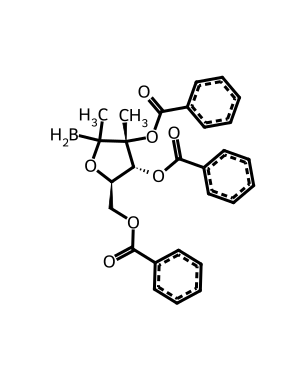 BC1(C)O[C@H](COC(=O)c2ccccc2)[C@@H](OC(=O)c2ccccc2)[C@@]1(C)OC(=O)c1ccccc1